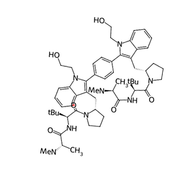 CN[C@@H](C)C(=O)N[C@H](C(=O)N1CCC[C@H]1Cc1c(-c2ccc(-c3c(C[C@@H]4CCCN4C(=O)[C@@H](NC(=O)[C@H](C)NC)C(C)(C)C)c4ccccc4n3CCO)cc2)n(CCO)c2ccccc12)C(C)(C)C